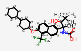 CC(C)(C)C(O)C(C)(NC(=O)O)c1ccc2c(C(F)(F)F)c(OC3CCC(C4CCCCC4)CC3)ccc2c1